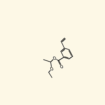 C=Cc1cccc(C(=O)OC(C)OCC)c1